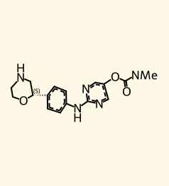 CNC(=O)Oc1cnc(Nc2ccc([C@H]3CNCCO3)cc2)nc1